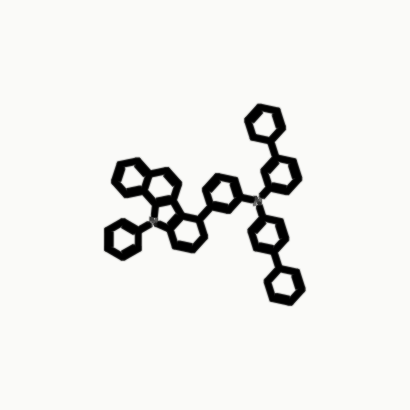 C1=CCC(c2ccc(N(c3cccc(C4C=CC=CC4)c3)c3cccc(C4CC=Cc5c4c4ccc6ccccc6c4n5-c4ccccc4)c3)cc2)C=C1